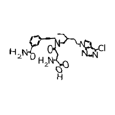 CCC(CCn1ccc2c(Cl)ncnc21)CN(CC#Cc1cccc(C(N)=O)c1)C(=O)CC(N)C(=O)O